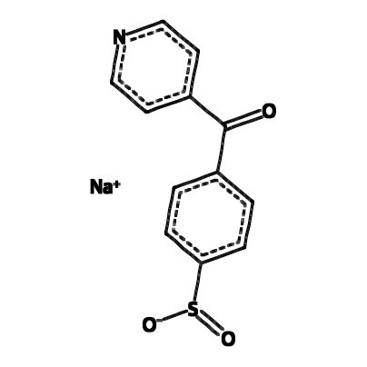 O=C(c1ccncc1)c1ccc(S(=O)[O-])cc1.[Na+]